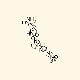 Cc1cc(N2CCN(S(C)(=O)=O)CC2)cnc1N1CCN(OC(=O)NC2[C@@H]3CC4C[C@H]2CC(C(N)=O)(C4)C3)c2ccccc21